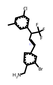 Cc1cc(Cl)cc(C(/C=C/c2ccc(CN)c(Br)c2)C(F)(F)F)c1